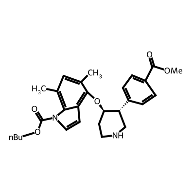 CCCCOC(=O)n1ccc2c(O[C@@H]3CCNC[C@H]3c3ccc(C(=O)OC)cc3)c(C)cc(C)c21